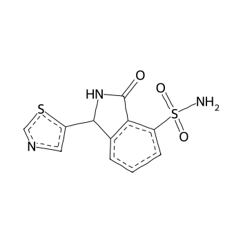 NS(=O)(=O)c1cccc2c1C(=O)NC2c1cncs1